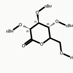 CCCCOCC1OC(=O)[C@H](OCCCC)[C@@H](OCCCC)[C@@H]1OCCCC